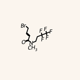 CN(CCC(F)(F)C(F)(F)F)C(=O)C=CCBr